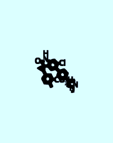 Cc1ccc(C2CC23C(=O)Nc2cc(Cl)c(-c4ccc(-c5cnn(C)c5)cc4)cc23)cc1C(=O)O